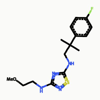 COCCNc1nsc(NCC(C)(C)c2ccc(F)cc2)n1